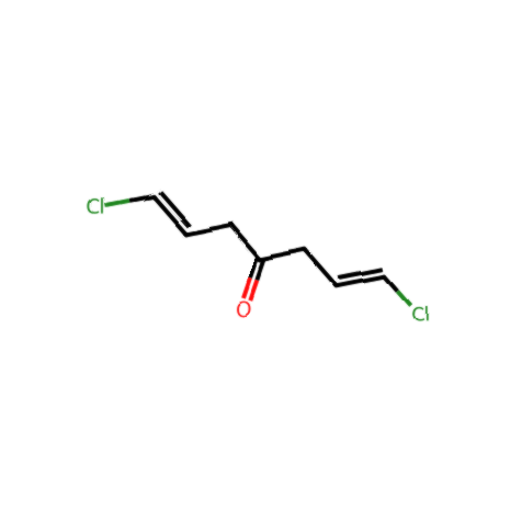 O=C(CC=CCl)CC=CCl